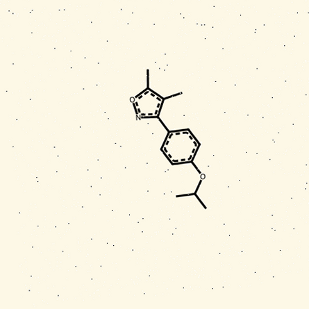 Cc1onc(-c2ccc(OC(C)C)cc2)c1C